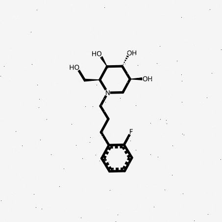 OC[C@H]1[C@@H](O)[C@H](O)[C@@H](O)CN1CCCc1ccccc1F